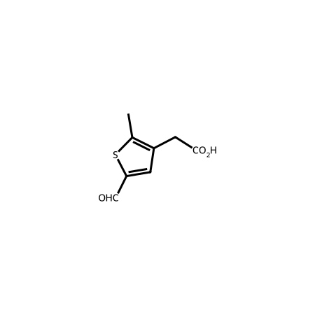 Cc1sc(C=O)cc1CC(=O)O